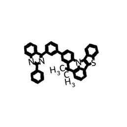 CC1(C)c2cc(-c3cccc(-c4nc(-c5ccccc5)nc5ccccc45)c3)ccc2-n2c3c1cccc3c1sc3ccccc3c12